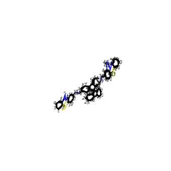 CN1c2ccccc2Sc2ccc(/C=C/c3ccc4c(c3)C3(c5ccccc5-c5ccccc53)c3c[si](/C=C/c5ccc6c(c5)N(C)c5ccccc5S6)ccc3-4)cc21